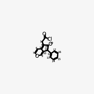 O=C(Cl)CC1=C2C=COC=C2C(c2ccccc2)C1=O